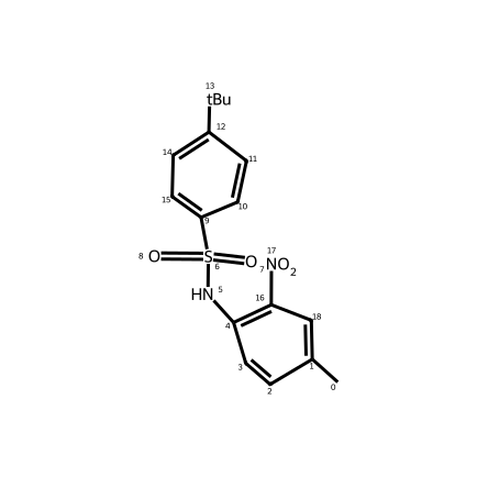 Cc1ccc(NS(=O)(=O)c2ccc(C(C)(C)C)cc2)c([N+](=O)[O-])c1